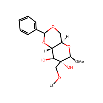 CCOC[C@]1(O)[C@H](OC)O[C@@H]2COC(c3ccccc3)O[C@H]2[C@@H]1O